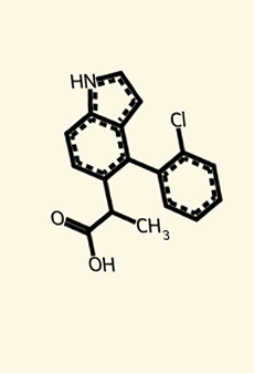 CC(C(=O)O)c1ccc2[nH]ccc2c1-c1ccccc1Cl